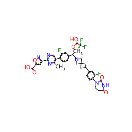 Cc1nc(-c2cc(C(=O)O)on2)ncc1-c1ccc(C(C)N2CC3(CC(c4ccc(N5CCC(=O)NC5=O)c(F)c4)C3)C2)cc1F.O=C(O)C(F)(F)F